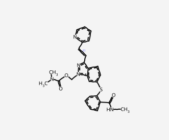 CNC(=O)c1ccccc1Sc1ccc2c(/C=C/c3ccccn3)nn(COC(=O)N(C)C)c2c1